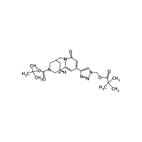 CC(C)(C)OC(=O)N1CC2C[C@@H](C1)c1cc(-c3cn(COC(=O)C(C)(C)C)nn3)cc(=O)n1C2